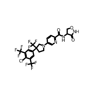 O=C(NC1CONC1=O)c1ccc(N2CCC(c3cc(C(F)(F)F)c(Cl)c(C(F)(F)F)c3)(C(F)(F)F)C2)cn1